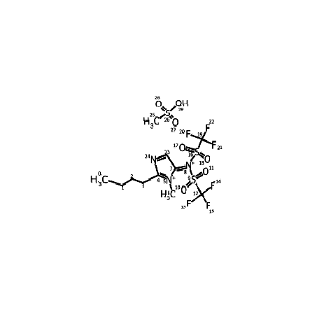 CCCCC1=[N+](C)C(=[N+](S(=O)(=O)C(F)(F)F)S(=O)(=O)C(F)(F)F)C=N1.CS(=O)(=O)O